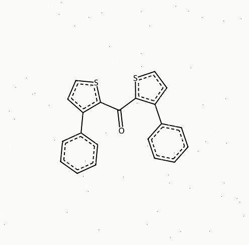 O=C(c1sccc1-c1ccccc1)c1sccc1-c1ccccc1